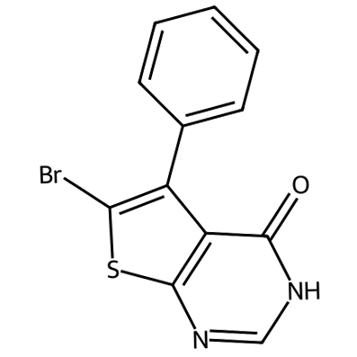 O=c1[nH]cnc2sc(Br)c(-c3ccccc3)c12